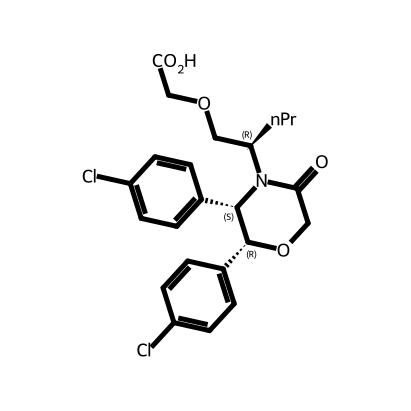 CCC[C@H](COCC(=O)O)N1C(=O)CO[C@H](c2ccc(Cl)cc2)[C@@H]1c1ccc(Cl)cc1